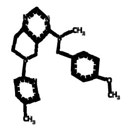 COc1ccc(CN(C)c2ncnc3c2CN(c2ccc(C)cn2)CC3)cc1